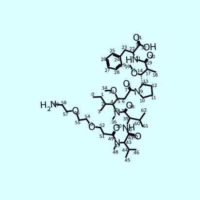 CCC(C)C(C(CC(=O)N1CCC[C@H]1C(OC)C(C)C(=O)NC(Cc1ccccc1)C(=O)O)OC)N(C)C(=O)C(NC(=O)C(C(C)C)N(C)C(=O)CCOCCOCCN)C(C)C